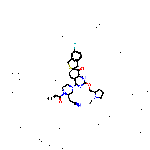 C=CC(=O)N1CCN(C2NC(OCC3CCCN3C)NC3C(=O)[C@@]4(CCC32)Cc2ccc(F)cc2CS4)CC1CC#N